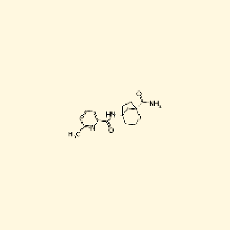 Cc1cccc(C(=O)NC23CCC[C@](C(N)=O)(CC2)C3)n1